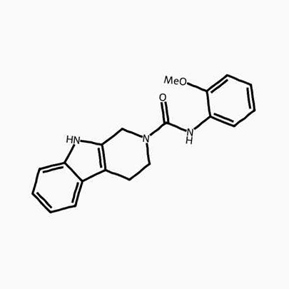 COc1ccccc1NC(=O)N1CCc2c([nH]c3ccccc23)C1